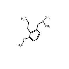 CCCc1c(CN(C)C)cccc1OC